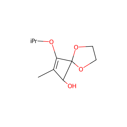 CC1=C(OC(C)C)C2(OCCO2)C1O